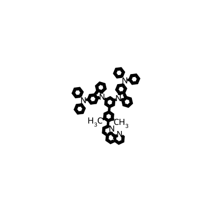 Cc1cc(-c2cc(-n3c4ccccc4c4cc(N(c5ccccc5)c5ccccc5)ccc43)cc(-n3c4ccccc4c4cc(N(c5ccccc5)c5ccccc5)ccc43)c2)cc(C)c1-c1ccc2ccc3cccnc3c2n1